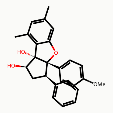 COc1ccc([C@]23Oc4cc(C)cc(C)c4[C@]2(O)[C@H](O)C[C@@H]3c2ccccc2)cc1